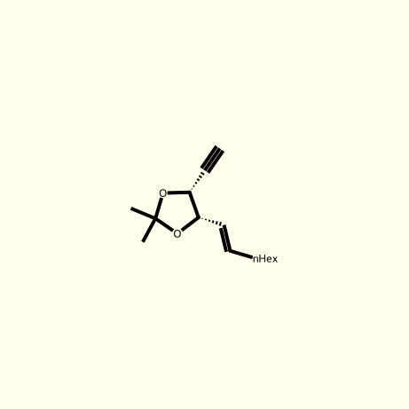 C#C[C@H]1OC(C)(C)O[C@H]1/C=C/CCCCCC